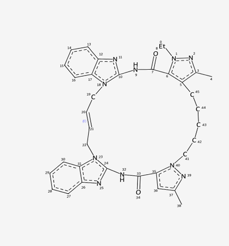 CCn1nc(C)c2c1C(=O)Nc1nc3ccccc3n1C/C=C/Cn1c(nc3ccccc31)NC(=O)c1cc(C)nn1CCCCC2